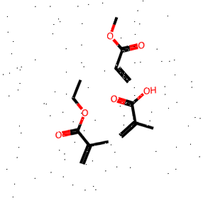 C=C(C)C(=O)O.C=C(C)C(=O)OCC.C=CC(=O)OC